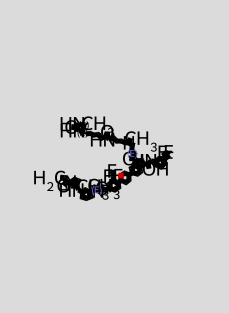 C=CC(=O)N1CCC(C)(Nc2cccc(/C(C)=N/OCc3ccc(C4CCC(c5ccc6c(c5)N(C(=O)/C=C/CN(C)CCCCNC(=O)CCCCC[C@H]5NC(=O)N[C@H]5C)CC6C(O)Nc5cccc(C(F)(F)F)c5)CC4)c(C(F)(F)F)c3)c2)C1